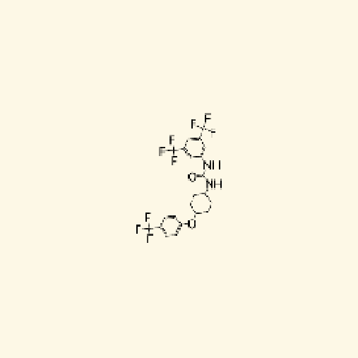 O=C(Nc1cc(C(F)(F)F)cc(C(F)(F)F)c1)NC1CCC(Oc2ccc(C(F)(F)F)cc2)CC1